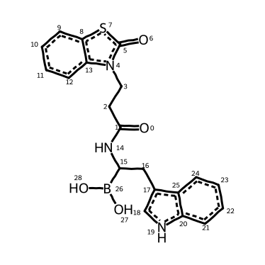 O=C(CCn1c(=O)sc2ccccc21)NC(Cc1c[nH]c2ccccc12)B(O)O